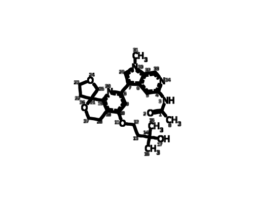 CC(=O)Nc1cc2c(-c3cc(OCCC(C)(C)O)c4c(n3)C3(CCOC3)OCC4)cn(C)c2cn1